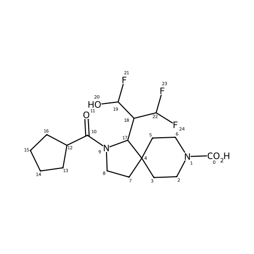 O=C(O)N1CCC2(CC1)CCN(C(=O)C1CCCC1)C2C(C(O)F)C(F)F